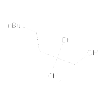 CCCCCCC(C)(CC)CO